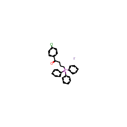 O=C(CCC[P+](c1ccccc1)(c1ccccc1)c1ccccc1)c1ccc(Cl)cc1.[I-]